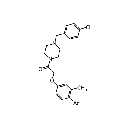 CC(=O)c1ccc(OCC(=O)N2CCN(Cc3ccc(Cl)cc3)CC2)cc1C